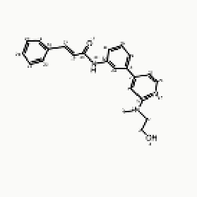 CN(CCO)c1cc(-c2cccc(NC(=O)C=Cc3ccccc3)c2)ccn1